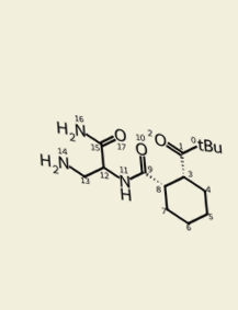 CC(C)(C)C(=O)[C@@H]1CCCC[C@@H]1C(=O)NC(CN)C(N)=O